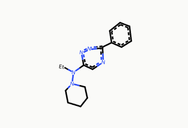 CCN(c1cnc(-c2ccccc2)nn1)N1CCCCC1